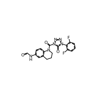 O=CNc1ccc2c(c1)CCCN2C(=O)n1nnn(-c2c(F)cccc2F)c1=O